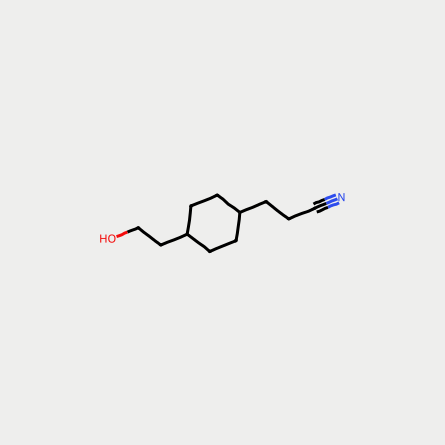 N#CCCC1CCC(CCO)CC1